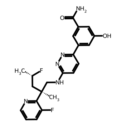 C[C@H](F)C[C@@](C)(CNc1ccc(-c2cc(O)cc(C(N)=O)c2)nn1)c1ncccc1F